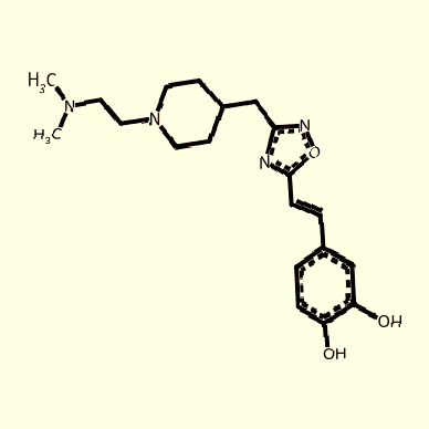 CN(C)CCN1CCC(Cc2noc(/C=C/c3ccc(O)c(O)c3)n2)CC1